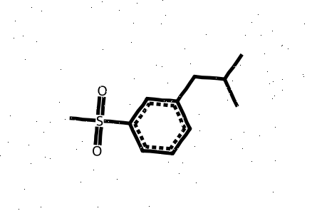 CC(C)Cc1cccc(S(C)(=O)=O)c1